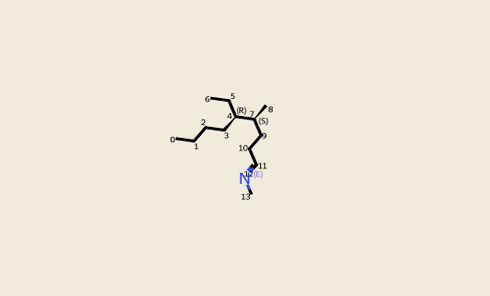 CCCC[C@@H](CC)[C@@H](C)CC/C=N/C